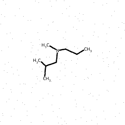 CCCN(C)CC(C)C